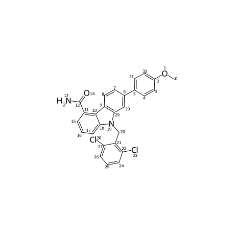 COc1ccc(-c2c[c]c3c4c(C(N)=O)cccc4n(Cc4c(Cl)cccc4Cl)c3c2)cc1